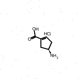 Cl.N[C@@H]1CC=C(C(=O)O)C1